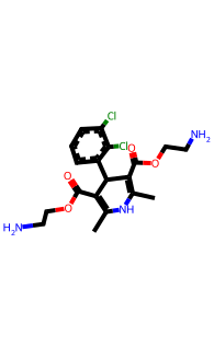 CC1=C(C(=O)OCCN)C(c2cccc(Cl)c2Cl)C(C(=O)OCCN)=C(C)N1